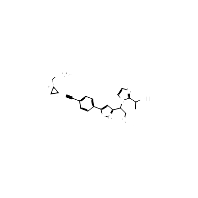 COC[C@@H]1C[C@H]1C#Cc1ccc(-c2cc(C(CN)n3ccnc3C(C)O)no2)cc1